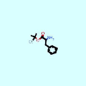 CCC(C)(C)OC(=O)C(N)Cc1ccccc1